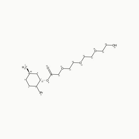 CC(C)C1CC[C@@H](C)C[C@@H]1OC(=O)COCCOCCOCCO